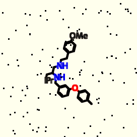 COc1ccc(CCNCC(CC(C)C)NCc2cccc(Oc3ccc(C)cc3)c2)cc1